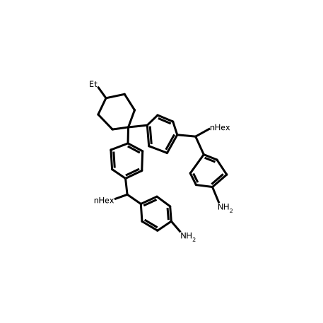 CCCCCCC(c1ccc(N)cc1)c1ccc(C2(c3ccc(C(CCCCCC)c4ccc(N)cc4)cc3)CCC(CC)CC2)cc1